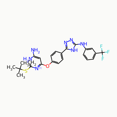 C=C(/N=C(\C=C(N)N)Oc1ccc(-c2nnc(Nc3cccc(C(F)(F)F)c3)[nH]2)cc1)SC(C)(C)C